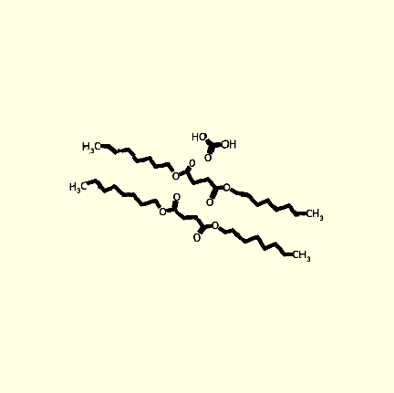 CCCCCCCCOC(=O)CCC(=O)OCCCCCCCC.CCCCCCCCOC(=O)CCC(=O)OCCCCCCCC.O=C(O)O